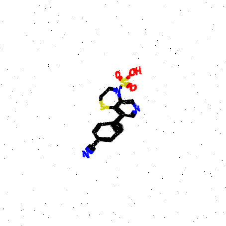 N#Cc1ccc(-c2cncc3c2SCCN3S(=O)(=O)O)cc1